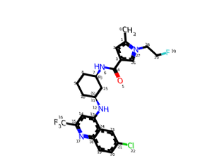 Cc1cc(C(=O)N[C@@H]2CCC[C@H](Nc3cc(C(F)(F)F)nc4ccc(Cl)cc34)C2)cn1CCF